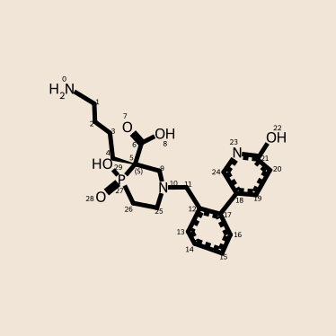 NCCCC[C@@]1(C(=O)O)CN(Cc2ccccc2-c2ccc(O)nc2)CCP1(=O)O